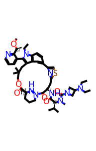 CCN(CC)C1CN(C(=O)N(C)[C@H](C(=O)N[C@H]2Cc3nc(cs3)-c3ccc4c(c3)c(c(-c3cccnc3[C@H](C)OC)n4CC)CC(C)(C)COC(=O)[C@@H]3CCCN(N3)C2=O)C(C)C)C1